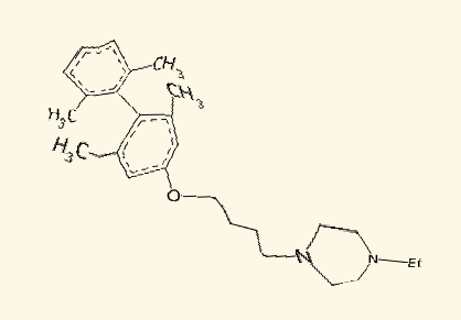 CCN1CCN(CCCCOc2cc(C)c(-c3c(C)cccc3C)c(C)c2)CC1